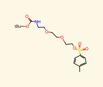 Cc1ccc(S(=O)(=O)OCCOCCOCCNC(=O)OC(C)(C)C)cc1